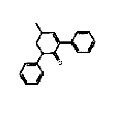 CC1C=C(c2ccccc2)C(=O)C(c2ccccc2)C1